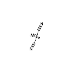 N#[C][Fe][C]#N.[Mn]